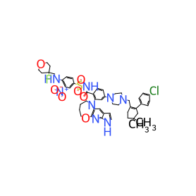 CC1(C)CCC(CN2CCN(c3ccc(C(=O)NS(=O)(=O)c4ccc(NCC5(F)CCOCC5)c([N+](=O)[O-])c4)c(N4CCCCOc5nc6[nH]ccc6cc54)c3)CC2)=C(c2ccc(Cl)cc2)C1